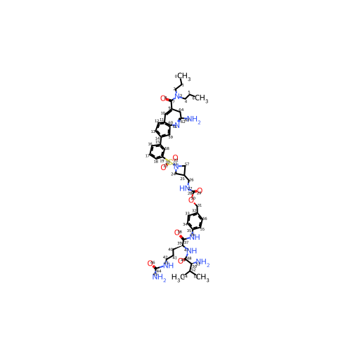 CCCN(CCC)C(=O)C1=Cc2ccc(-c3cccc(S(=O)(=O)N4CC(CNC(=O)OCc5ccc(NC(=O)[C@H](CCCNC(N)=O)NC(=O)[C@@H](N)C(C)C)cc5)C4)c3)cc2N=C(N)C1